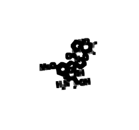 COc1cccc(C[C@]2(C(=O)N[C@H](C(N)=O)[C@@H](C)O)CCCN2C(=O)[C@@H]2CCCN2C(=O)[C@@H](C)[C@@H](C)O)c1